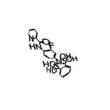 O=C(Nc1ccc(N2S(O)(O)c3ccccc3S2(O)O)cc1F)c1ccccn1